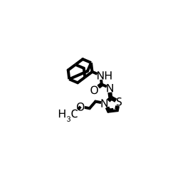 COCCn1ccsc1=NC(=O)NC1C2CC3CC(C2)CC1C3